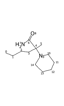 CCCCC(C)(C(N)=O)N1CCCCC1